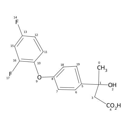 CC(O)(CC(=O)O)c1ccc(Oc2ccc(F)cc2F)cc1